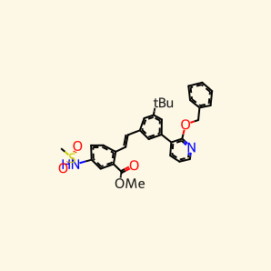 COC(=O)c1cc(NS(C)(=O)=O)ccc1C=Cc1cc(-c2cccnc2OCc2ccccc2)cc(C(C)(C)C)c1